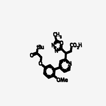 COc1ccc(OCC(=O)C(C)(C)C)cc1-c1ccnc(C(CC(=O)O)c2nnc(C)o2)c1